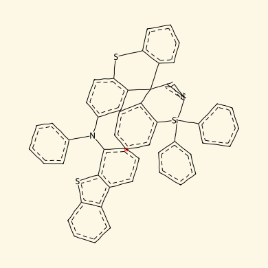 c1ccc(N(c2ccc3c(c2)C2(c4ccccc4S3)c3ccccc3[Si](c3ccccc3)(c3ccccc3)c3ccccc32)c2cccc3c2sc2ccccc23)cc1